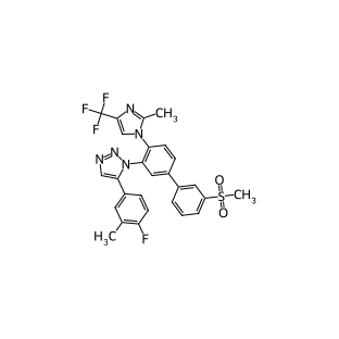 Cc1cc(-c2cnnn2-c2cc(-c3cccc(S(C)(=O)=O)c3)ccc2-n2cc(C(F)(F)F)nc2C)ccc1F